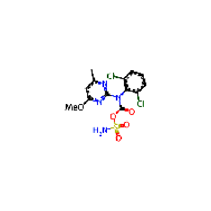 COc1cc(C)nc(N(C(=O)OS(N)(=O)=O)c2c(Cl)cccc2Cl)n1